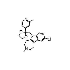 Cc1cc(C2(Cn3c4c(c5cc(Cl)ccc53)CCN(C)CC4)OCCO2)ccn1